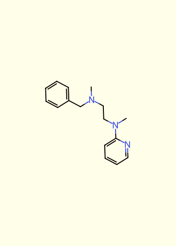 CN(CCN(C)c1ccccn1)Cc1ccccc1